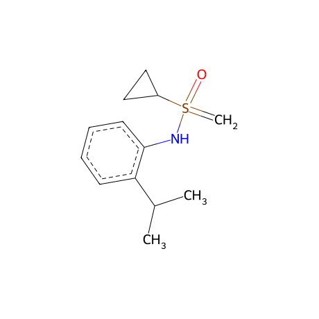 C=S(=O)(Nc1ccccc1C(C)C)C1CC1